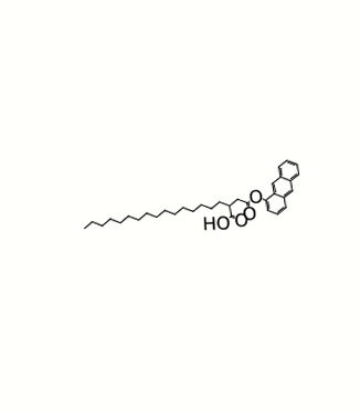 CCCCCCCCCCCCCCCCC(CC(=O)Oc1cccc2cc3ccccc3cc12)C(=O)O